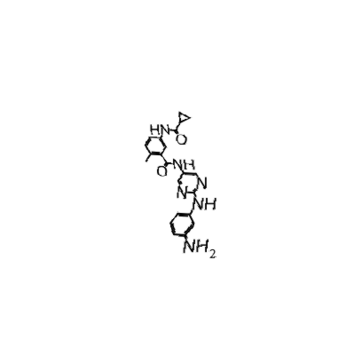 Cc1ccc(NC(=O)C2CC2)cc1C(=O)Nc1cnc(Nc2cccc(N)c2)nc1